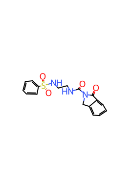 O=C(NCCNS(=O)(=O)c1ccccc1)N1Cc2ccccc2C1=O